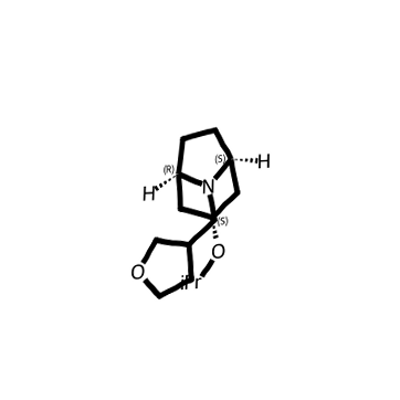 CC(C)O[C@@H]1C[C@H]2CC[C@@H](C1)N2CC1CCOC1